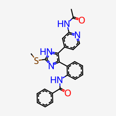 CSc1nc(-c2ccccc2NC(=O)c2ccccc2)c(-c2ccnc(NC(C)=O)c2)[nH]1